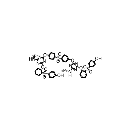 CCCNc1nc(Oc2ccc(S(=O)(=O)c3ccc(Oc4nc(NCCC)nc(Oc5ccccc5S(=O)(=O)c5ccc(O)cc5)n4)cc3)cc2)nc(Oc2ccccc2S(=O)(=O)c2ccc(O)cc2)n1